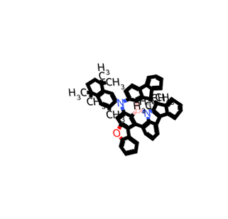 Cc1cc2c(cc1N1c3ccc4c(c3B3c5c1cc1oc6ccccc6c1c5-c1cccc5c6c(n3c15)C(C)(C)c1ccccc1-6)C(C)(C)c1ccccc1-4)C(C)(C)CCC2(C)C